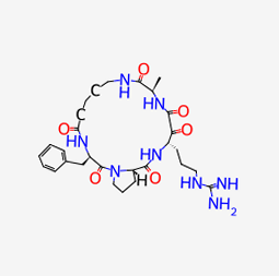 C[C@H]1NC(=O)C(=O)[C@H](CCCNC(=N)N)NC(=O)[C@@H]2CCCN2C(=O)[C@@H](Cc2ccccc2)NC(=O)CCCCNC1=O